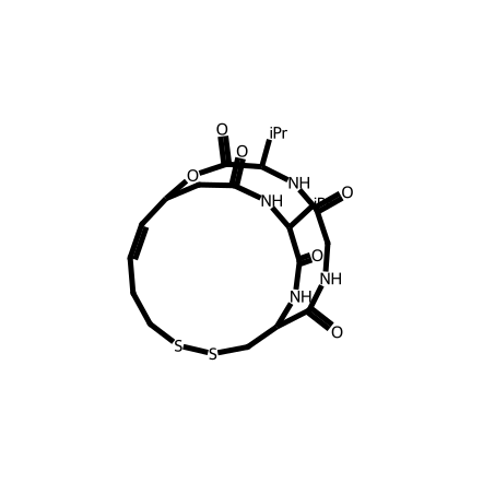 CC(C)C1NC(=O)CC2C=CCCSSCC(NC1=O)C(=O)NCC(=O)NC(C(C)C)C(=O)O2